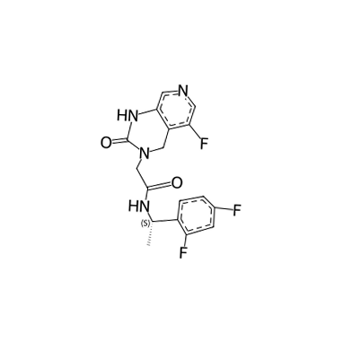 C[C@H](NC(=O)CN1Cc2c(F)cncc2NC1=O)c1ccc(F)cc1F